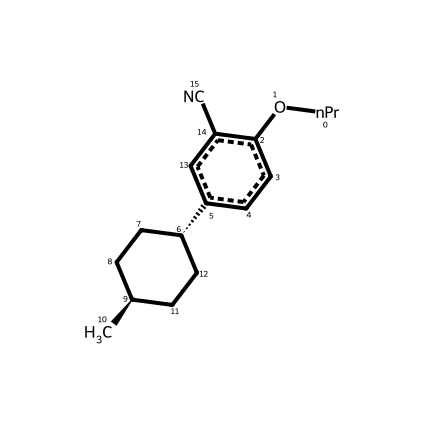 CCCOc1ccc([C@H]2CC[C@H](C)CC2)cc1C#N